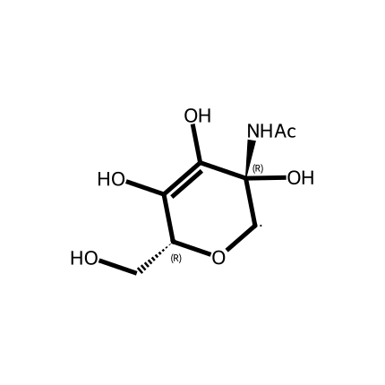 CC(=O)N[C@@]1(O)[CH]O[C@H](CO)C(O)=C1O